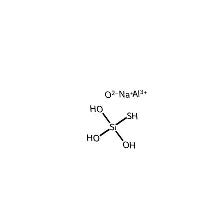 O[Si](O)(O)S.[Al+3].[Na+].[O-2]